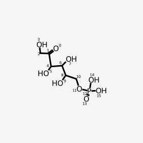 O=C(CO)C(O)C(O)C(O)COP(=O)(O)O